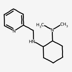 CN(C)C1CCCCC1NCc1ccccn1